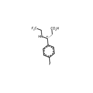 O=C(O)C[C@@H](NCC(F)(F)F)c1ccc(F)cc1